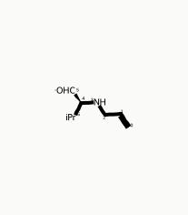 C=CCN[C@H]([C]=O)C(C)C